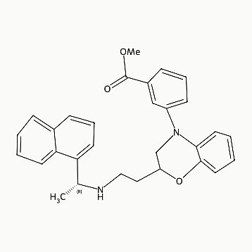 COC(=O)c1cccc(N2CC(CCN[C@H](C)c3cccc4ccccc34)Oc3ccccc32)c1